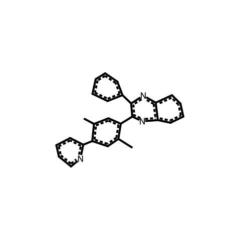 Cc1cc(-c2nc3ccccc3nc2-c2ccccc2)c(C)cc1-c1ccccn1